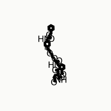 O=C1CCC(N2C(=O)c3cccc(NC(=O)COCCOCCN4CCC(NC(=O)OCc5ccccc5)CC4)c3C2=O)C(=O)N1